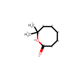 CC1(C)CCCCCC(=O)O1